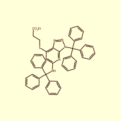 CCOC(=O)CCSc1cc(NC(c2ccccc2)(c2ccccc2)c2ccccc2)nc2c1nnn2C(c1ccccc1)(c1ccccc1)c1ccccc1